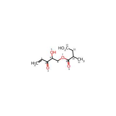 C=CC(=O)C(O)COC(=O)C(C)CC(=O)O